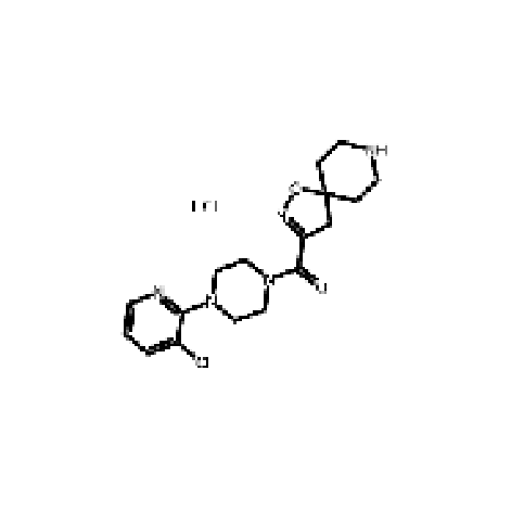 Cl.O=C(C1=NOC2(CCNCC2)C1)N1CCN(c2ncccc2Cl)CC1